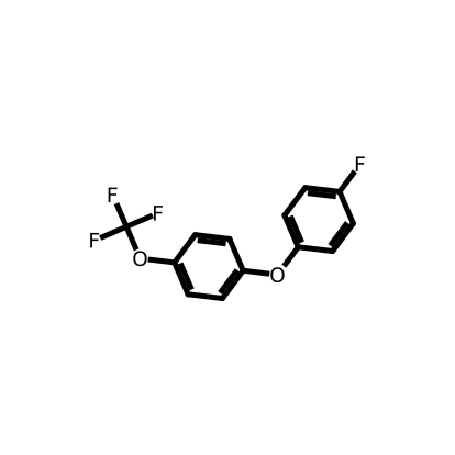 Fc1ccc(Oc2ccc(OC(F)(F)F)cc2)cc1